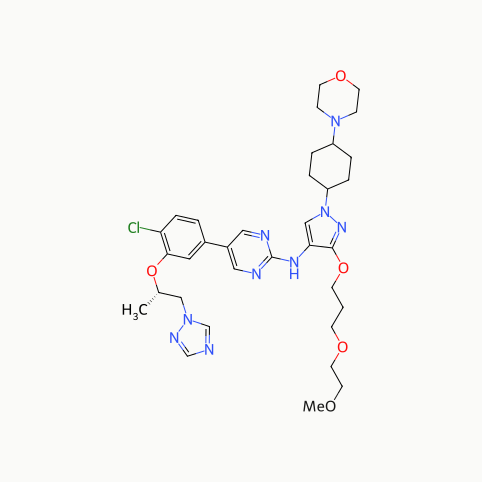 COCCOCCCOc1nn(C2CCC(N3CCOCC3)CC2)cc1Nc1ncc(-c2ccc(Cl)c(O[C@@H](C)Cn3cncn3)c2)cn1